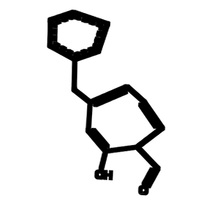 O=CC1C=CC=C(Cc2ccccc2)C=C1O